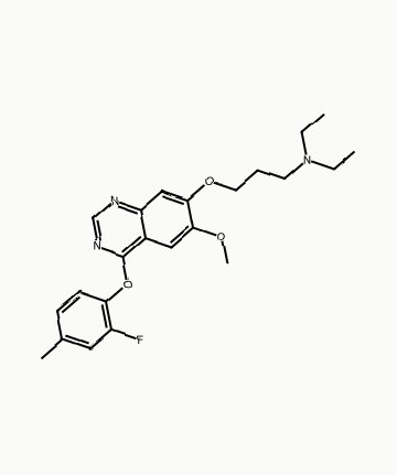 CCN(CC)CCCOc1cc2ncnc(Oc3ccc(C)cc3F)c2cc1OC